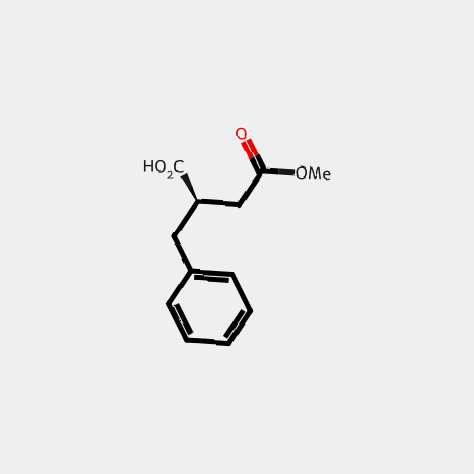 COC(=O)C[C@@H](Cc1ccccc1)C(=O)O